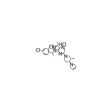 Cc1nn(C(C)c2ccc(Cl)cc2Cl)c2nc(N3CC[C@H](N4CC=CC4)[C@H](C)C3)cnc12.Cl